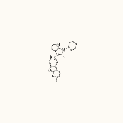 CB1C=c2oc3nc(C)ccc3c2=CN1N1c2cccnc2N(c2ccccc2)[C@@H]1C